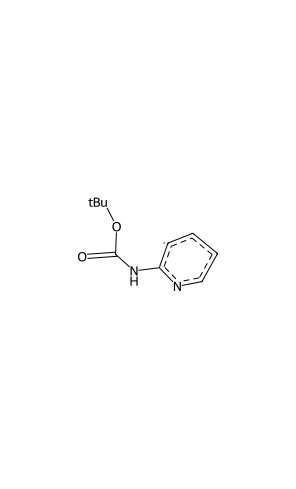 CC(C)(C)OC(=O)Nc1[c]cccn1